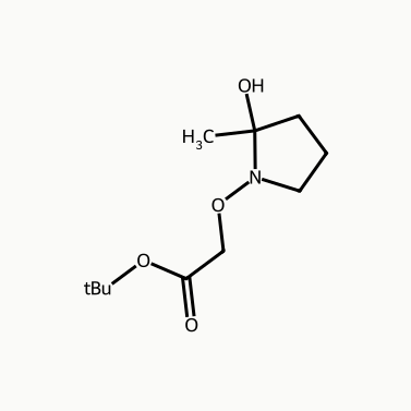 CC(C)(C)OC(=O)CON1CCCC1(C)O